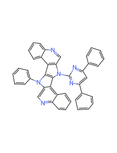 c1ccc(-c2cc(-c3ccccc3)nc(-n3c4cnc5ccccc5c4c4c3c3c5ccccc5ncc3n4-c3ccccc3)n2)cc1